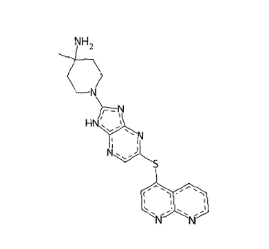 CC1(N)CCN(c2nc3nc(Sc4ccnc5ncccc45)cnc3[nH]2)CC1